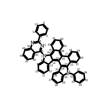 c1ccc(-c2nc(-n3c4ccccc4c4c5c(c6ccccc6c6c5c5ccccc5n6-c5ccccc5)c5ccccc5c43)c3ccccc3n2)cc1